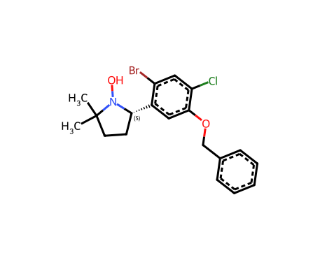 CC1(C)CC[C@@H](c2cc(OCc3ccccc3)c(Cl)cc2Br)N1O